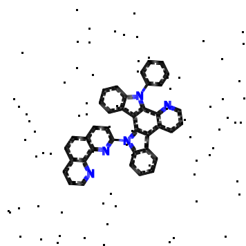 c1ccc(-n2c3ccccc3c3c2c2ncccc2c2c4ccccc4n(-c4ccc5ccc6cccnc6c5n4)c23)cc1